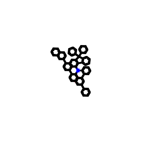 c1ccc(-c2cccc(-c3ccccc3N(c3ccccc3-c3ccc(-c4ccc5ccccc5c4)cc3)c3cccc4c3-c3ccccc3C4(c3ccccc3)c3ccccc3)c2)cc1